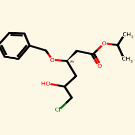 CC(C)OC(=O)C[C@@H](CC(O)CCl)OCc1ccccc1